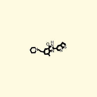 Cc1cc(CCN2CCCCC2)cc2c(=O)[nH]c(-c3cnc4sccc4c3)nc12